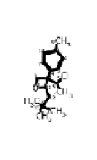 Cc1ccc(C2(C(C)Cl)COC2CC(C)(C)C)cc1